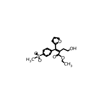 CCOC(=O)C(CCO)=C(c1ccc(S(C)(=O)=O)cc1)c1ccco1